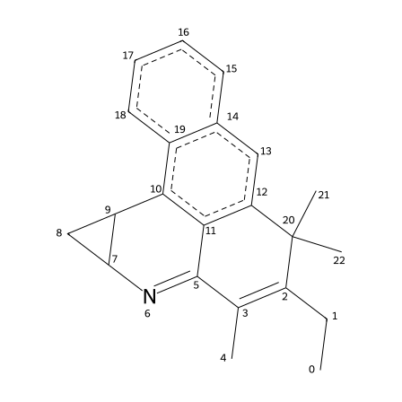 CCC1=C(C)C2=NC3CC3c3c2c(cc2ccccc32)C1(C)C